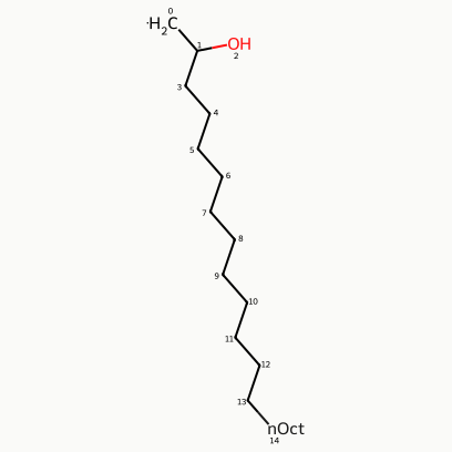 [CH2]C(O)CCCCCCCCCCCCCCCCCCC